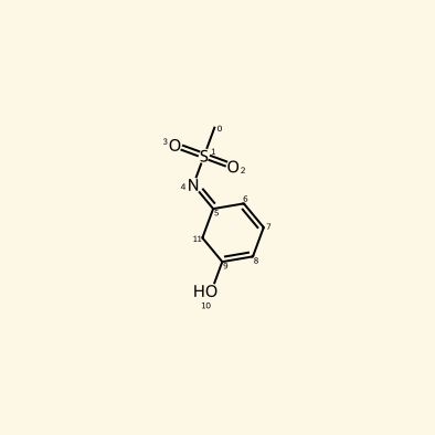 CS(=O)(=O)N=C1C=CC=C(O)C1